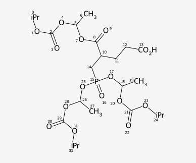 CC(C)OC(=O)OC(C)OC(=O)C(CCC(=O)O)CP(=O)(OC(C)OC(=O)OC(C)C)OC(C)OC(=O)OC(C)C